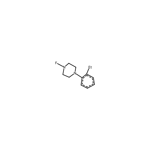 CCc1ccccc1N1CCN(F)CC1